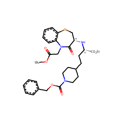 CCOC(=O)[C@H](CCC1CCN(C(=O)OCc2ccccc2)CC1)N[C@H]1CSc2ccccc2N(CC(=O)OC(C)(C)C)C1=O